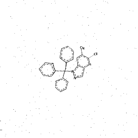 N#Cc1cc2c(cnn2C(c2ccccc2)(c2ccccc2)c2ccccc2)nc1Cl